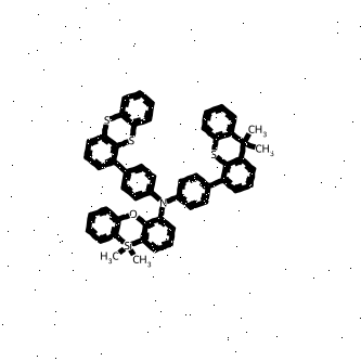 CC1(C)c2ccccc2Sc2c(-c3ccc(N(c4ccc(-c5cccc6c5Sc5ccccc5S6)cc4)c4cccc5c4Oc4ccccc4[Si]5(C)C)cc3)cccc21